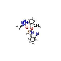 Cc1cccc(-n2nnn(C)c2=O)c1COc1nc(-c2ccccc2C#N)cs1